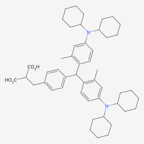 Cc1cc(N(C2CCCCC2)C2CCCCC2)ccc1C(c1ccc(CC(C(=O)O)C(=O)O)cc1)c1ccc(N(C2CCCCC2)C2CCCCC2)cc1C